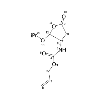 C=CCOC(=O)N[C@H]1CC(=O)OC1OC(C)C